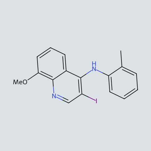 COc1cccc2c(Nc3ccccc3C)c(I)cnc12